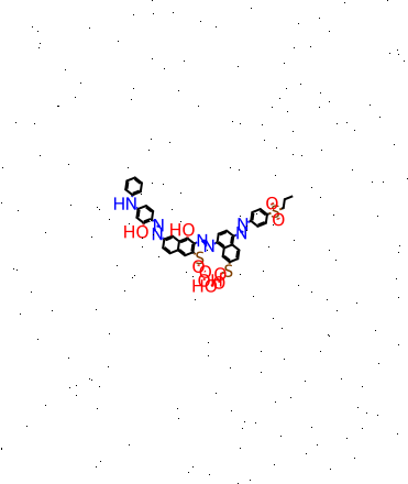 CCCS(=O)(=O)c1ccc(/N=N/c2ccc(/N=N/c3c(SOOO)cc4ccc(N=Nc5ccc(Nc6ccccc6)cc5O)cc4c3O)c3cc(SOOO)ccc23)cc1